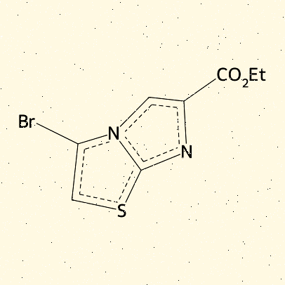 CCOC(=O)c1cn2c(Br)csc2n1